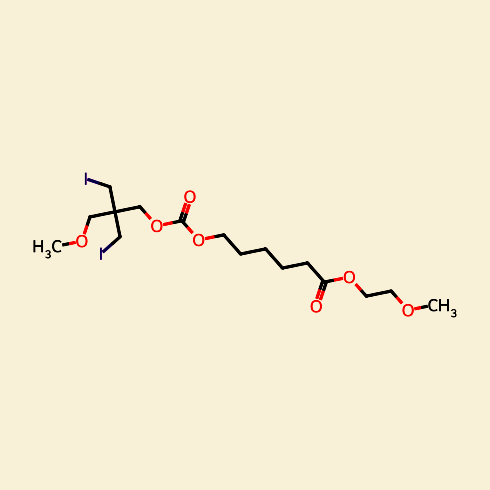 COCCOC(=O)CCCCCOC(=O)OCC(CI)(CI)COC